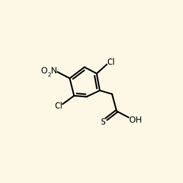 O=[N+]([O-])c1cc(Cl)c(CC(O)=S)cc1Cl